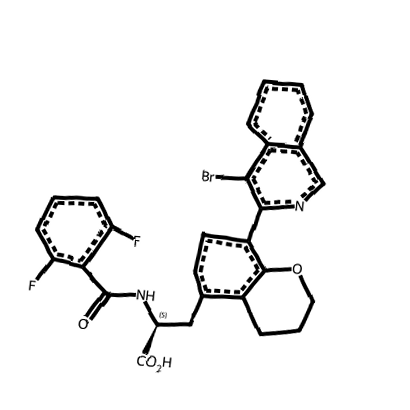 O=C(N[C@@H](Cc1ccc(-c2ncc3ccccc3c2Br)c2c1CCCO2)C(=O)O)c1c(F)cccc1F